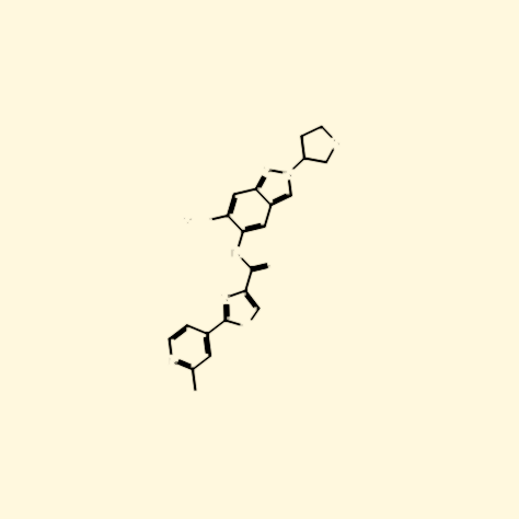 COc1cc2nn(C3CCNC3)cc2cc1NC(=O)c1coc(-c2ccnc(C)c2)n1